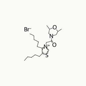 CCCCCc1sc[n+](CC(=O)N2CC(C)OC(C)C2)c1CCCCC.[Br-]